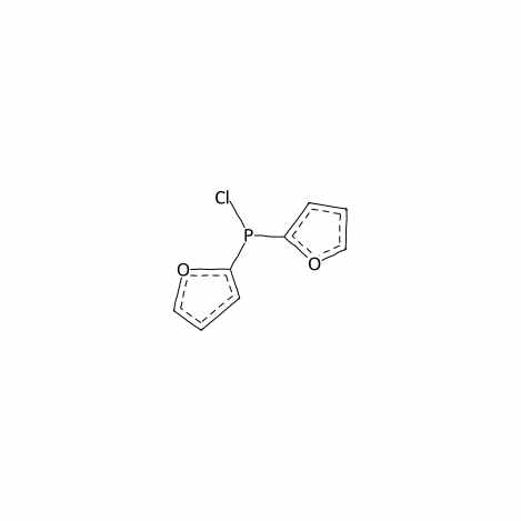 ClP(c1ccco1)c1ccco1